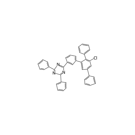 Clc1cc(-c2ccccc2)cc(-c2cccc(-c3nc(-c4ccccc4)nc(-c4ccccc4)n3)c2)c1-c1ccccc1